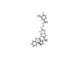 Cc1ccc(NCCCN2CC3CN(C(=O)c4cnn(-c5ccccc5)c4N)CC3C2)cc1Cl